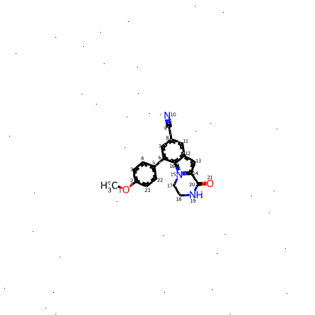 COc1ccc(-c2cc(C#N)cc3cc4n(c23)CCNC4=O)cc1